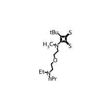 CCCN(CC)CCOCCN(C)c1c(C(C)(C)C)c(=S)c1=S